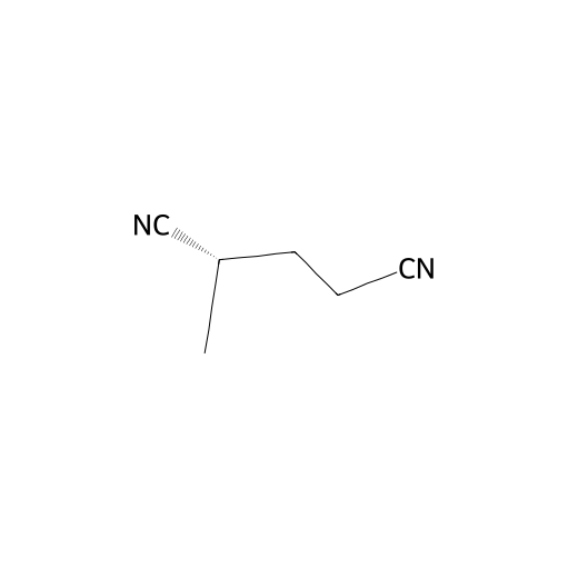 C[C@H](C#N)CCC#N